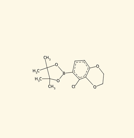 CC1(C)OB(c2ccc3c(c2Cl)OCCO3)OC1(C)C